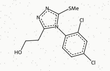 CSc1nnc(CCO)n1-c1ccc(Cl)cc1Cl